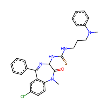 CN(CCCNC(=S)NC1N=C(c2ccccc2)c2cc(Cl)ccc2N(C)C1=O)c1ccccc1